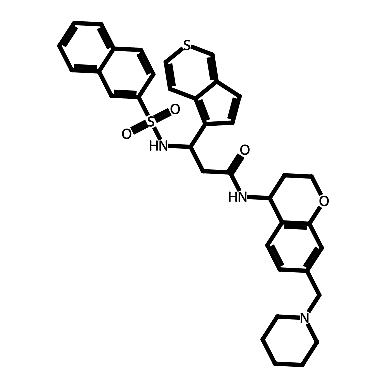 O=C(CC(NS(=O)(=O)c1ccc2ccccc2c1)c1ccc2csccc1-2)NC1CCOc2cc(CN3CCCCC3)ccc21